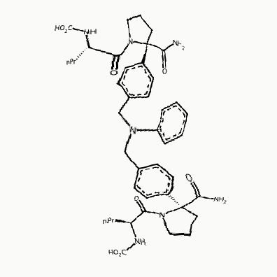 CCC[C@H](NC(=O)O)C(=O)N1CCC[C@@]1(C(N)=O)c1ccc(CN(Cc2ccc([C@]3(C(N)=O)CCCN3C(=O)[C@H](CCC)NC(=O)O)cc2)c2ccccc2)cc1